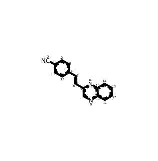 N#Cc1ccc(C=Cc2cnc3ccccc3n2)cc1